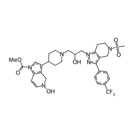 COC(=O)n1cc(C2CCN(CC(O)Cn3nc(-c4ccc(C(F)(F)F)cc4)c4c3CCN(S(C)(=O)=O)C4)CC2)c2c1C=CN(O)C2